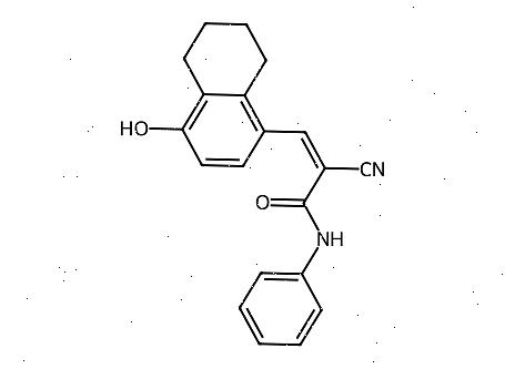 N#C/C(=C/c1ccc(O)c2c1CCCC2)C(=O)Nc1ccccc1